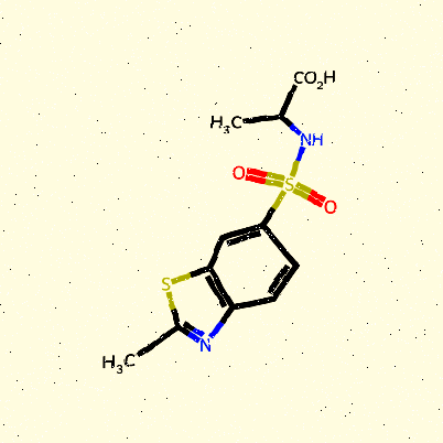 Cc1nc2ccc(S(=O)(=O)NC(C)C(=O)O)cc2s1